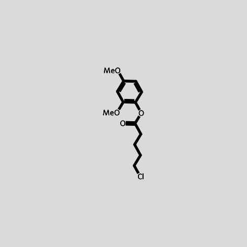 COc1ccc(OC(=O)CCCCCl)c(OC)c1